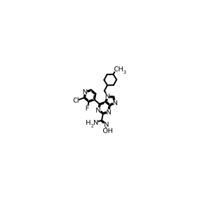 CC1CCC(Cn2cnc3nc(C(N)=NO)nc(-c4ccnc(Cl)c4F)c32)CC1